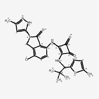 Cc1cc(N2Cc3c(Cl)ccc(Nc4c(NC(c5ccc(C)o5)C(C)(C)C)c(=O)c4=O)c3C2=O)[nH]n1